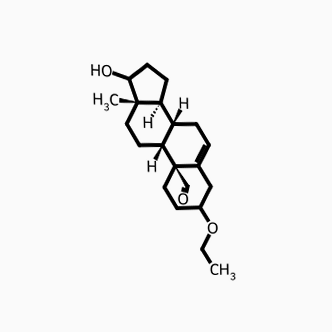 CCOC1CC[C@@]2(C=O)C(=CC[C@@H]3[C@H]2CC[C@]2(C)C(O)CC[C@@H]32)C1